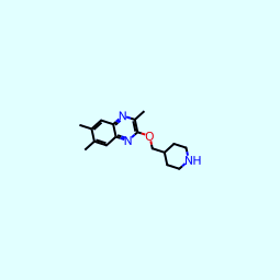 Cc1cc2nc(C)c(OCC3CCNCC3)nc2cc1C